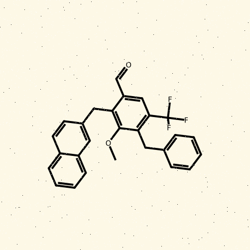 COc1c(Cc2ccc3ccccc3c2)c(C=O)cc(C(F)(F)F)c1Cc1ccccc1